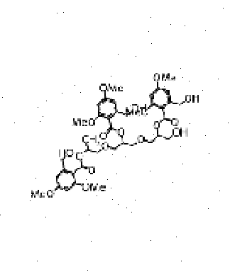 COc1cc(CO)c(C(=O)OC(C)COCC(COCC(CO)OC(=O)c2c(CO)cc(OC)cc2OC)OC(=O)c2c(CO)cc(OC)cc2OC)c(OC)c1